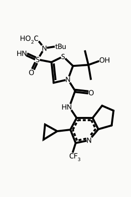 CC(C)(O)C1SC(S(=N)(=O)N(C(=O)O)C(C)(C)C)=CN1C(=O)Nc1c2c(nc(C(F)(F)F)c1C1CC1)CCC2